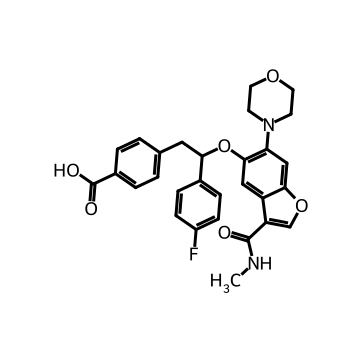 CNC(=O)c1coc2cc(N3CCOCC3)c(OC(Cc3ccc(C(=O)O)cc3)c3ccc(F)cc3)cc12